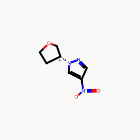 O=[N+]([O-])c1cnn([C@@H]2CCOC2)c1